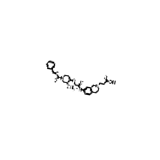 CC1CN(C(=O)OCc2ccccc2)CCC1OCC(=O)Nc1ccc2c(c1)CN(CCC(=O)O)CC2